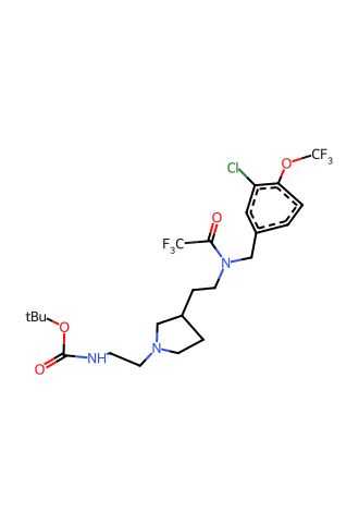 CC(C)(C)OC(=O)NCCN1CCC(CCN(Cc2ccc(OC(F)(F)F)c(Cl)c2)C(=O)C(F)(F)F)C1